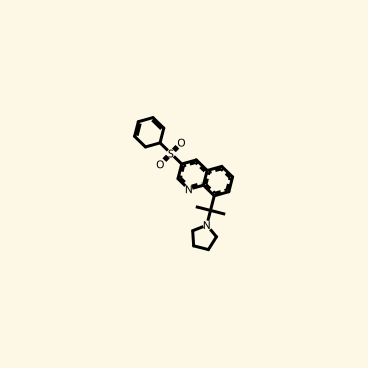 CC(C)(c1cccc2cc(S(=O)(=O)C3C=CC=CC3)cnc12)N1CCCC1